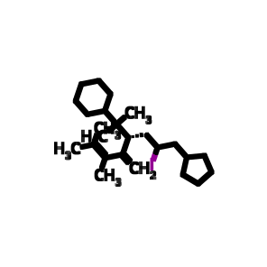 C=C(C(C)=C(C)C)[C@@H](CC(I)CC1CCCC1)C(C)(C)C1CCCCC1